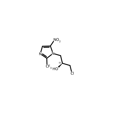 O=[N+]([O-])c1cnc(C(F)(F)F)n1C[C@H](O)CCl